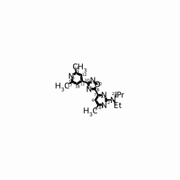 CCN(c1nc(C)cc(-c2nc(-c3cc(C)nc(C)c3)no2)n1)C(C)C